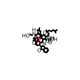 CC(C)=CCCC1(C)C=Cc2c(c(CC=C(C)C)c3c(c2OP(=O)(O)O)C2=C4C(C5CC6C(C)(C)OC(C/C=C(/C)C(=O)NCCO)(C5=O)C46O3)C3C(=O)c4ccccc4C3=N2)O1